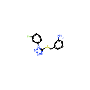 Nc1cccc(CSc2nnnn2-c2cccc(F)c2)c1